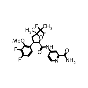 COc1c([C@H]2C[C@](C)(C(C)(F)F)O[C@H]2C(=O)Nc2ccnc(C(N)=O)c2)ccc(F)c1F